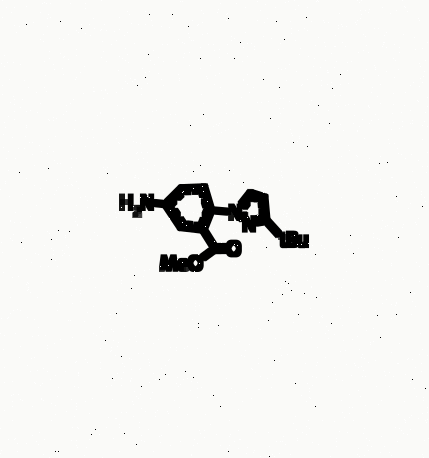 COC(=O)c1cc(N)ccc1-n1ccc(C(C)(C)C)n1